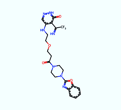 N=C(c1c(NCCOCCC(=O)N2CCN(c3nc4ccccc4o3)CC2)cn[nH]c1=O)C(F)(F)F